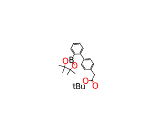 CC(C)(C)OC(=O)Cc1ccc(-c2ccccc2B2OC(C)(C)C(C)(C)O2)cc1